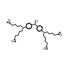 CCC(c1ccc(N(CCCCC2CO2)CCCCC2CO2)cc1)c1ccc(N(CCCCC2CO2)CCCCC2CO2)cc1